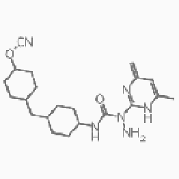 C=C1C=C(C)NC(N(N)C(=O)NC2CCC(CC3CCC(OC#N)CC3)CC2)=N1